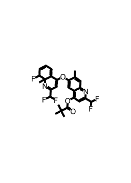 Cc1cc2nc(C(F)F)cc(OC(=O)C(C)(C)C)c2cc1OC1=CC(C(F)F)=NC2(C)C1=CC=CC2F